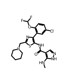 CNc1[nH]ncc1C(=O)Nc1sc(CN2CCCCC2)nc1-c1cc(Cl)ccc1OC(F)F